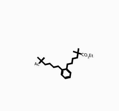 CCOC(=O)C(C)(C)CCCCc1ccccc1CCCCC(C)(C)C(C)=O